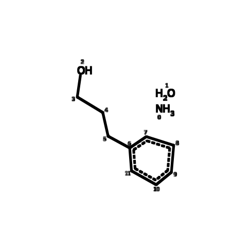 N.O.OCCCc1ccccc1